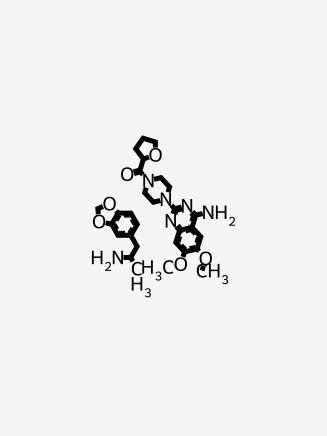 CC(N)Cc1ccc2c(c1)OCO2.COc1cc2nc(N3CCN(C(=O)C4CCCO4)CC3)nc(N)c2cc1OC